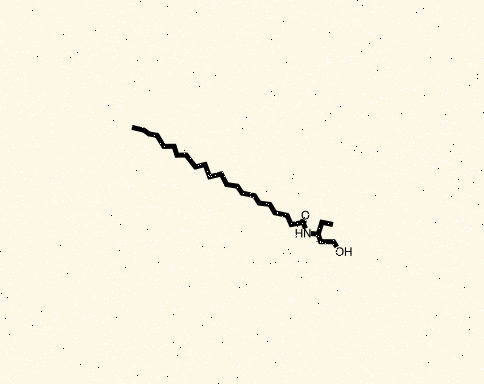 CCCCCCCCCCCCCCCCCCCCCC(=O)NC([CH]CO)CC